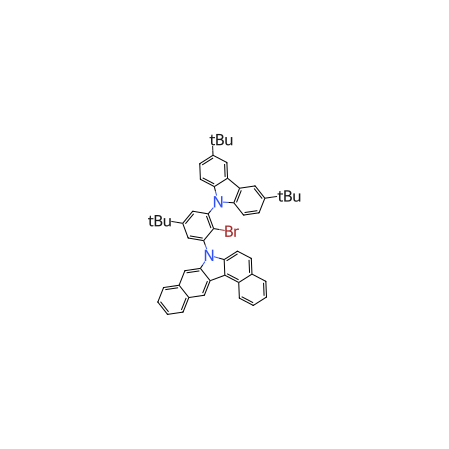 CC(C)(C)c1cc(-n2c3ccc(C(C)(C)C)cc3c3cc(C(C)(C)C)ccc32)c(Br)c(-n2c3cc4ccccc4cc3c3c4ccccc4ccc32)c1